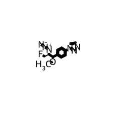 CO[C@H](c1ccc(-n2ccnn2)cc1)[C@@H](CF)N=[N+]=[N-]